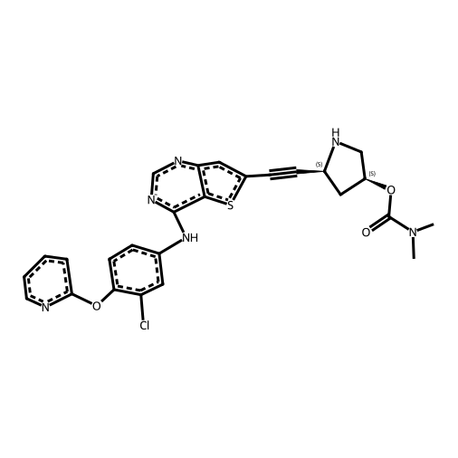 CN(C)C(=O)O[C@@H]1CN[C@H](C#Cc2cc3ncnc(Nc4ccc(Oc5ccccn5)c(Cl)c4)c3s2)C1